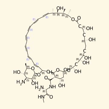 CNC(=O)[C@H](N)NC(=O)[C@H]1[C@@H]2C[C@@H](O[C@@H]3O[C@H](C)[C@@H](O)[C@H](N)[C@@H]3O)/C=C/C=C/C=C/C=C/C=C/C=C/C=C/[C@H](C)[C@@H](O)[C@@H](C)[C@H](C)OC(=O)C[C@H](O)C[C@H](O)CC[C@@H](O)[C@H](O)C[C@H](O)C[C@](O)(C[C@@H]1O)O2